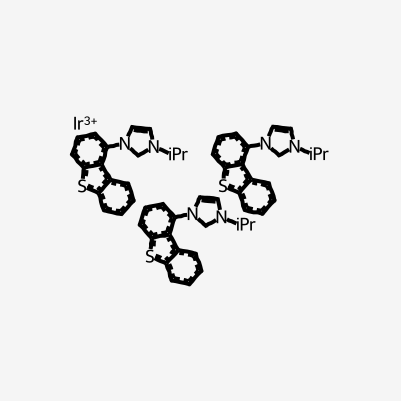 CC(C)N1C=CN(c2cccc3sc4ccccc4c23)C1.CC(C)N1C=CN(c2cccc3sc4ccccc4c23)C1.CC(C)N1C=CN(c2cccc3sc4ccccc4c23)C1.[Ir+3]